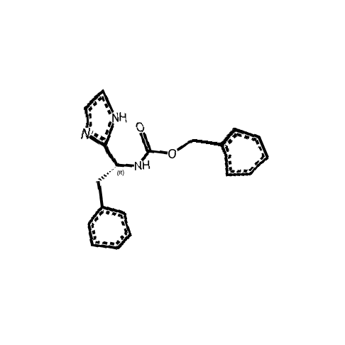 O=C(N[C@H](Cc1ccccc1)c1ncc[nH]1)OCc1ccccc1